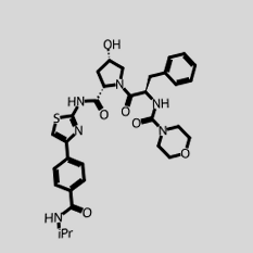 CC(C)NC(=O)c1ccc(-c2csc(NC(=O)[C@@H]3C[C@H](O)CN3C(=O)[C@@H](Cc3ccccc3)NC(=O)N3CCOCC3)n2)cc1